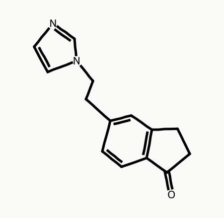 O=C1CCc2cc(CCn3ccnc3)ccc21